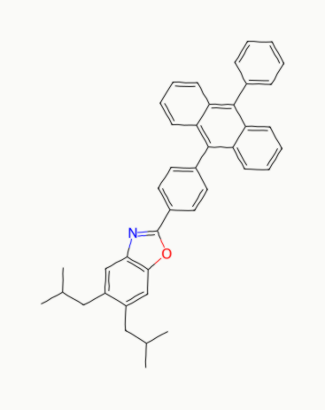 CC(C)Cc1cc2nc(-c3ccc(-c4c5ccccc5c(-c5ccccc5)c5ccccc45)cc3)oc2cc1CC(C)C